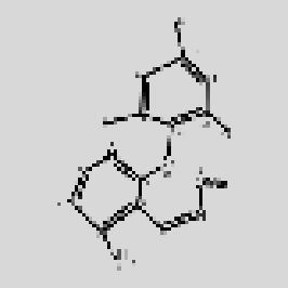 CO/N=C\c1c(N)ncnc1Oc1c(C)cc(C)cc1C